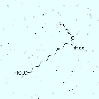 CCCCC#COC(CC=CCCCCCCCC(=O)O)CCCCCC